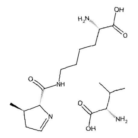 CC(C)[C@H](N)C(=O)O.C[C@@H]1CC=N[C@H]1C(=O)NCCCC[C@H](N)C(=O)O